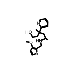 COc1ccsc1CNC(C)CC(C)(CCO)c1ccccn1